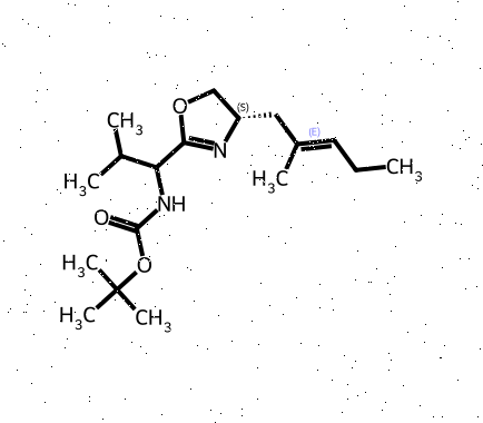 CC/C=C(\C)C[C@H]1COC(C(NC(=O)OC(C)(C)C)C(C)C)=N1